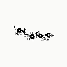 COc1cc2c(cc1OCC1CCNCC1)=NCCC=2Oc1ccc(NC(O)C(=O)NCCc2cc(C)ccc2C)cc1F